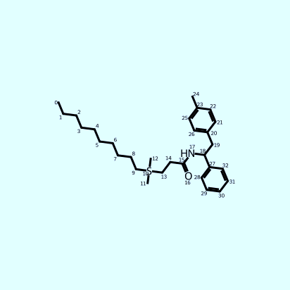 CCCCCCCCCCS(C)(C)CCC(=O)NC(Cc1ccc(C)cc1)c1ccccc1